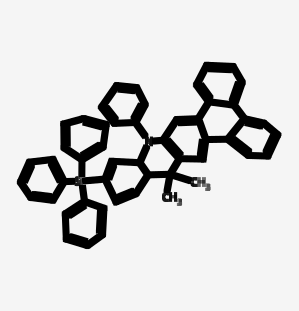 CC1(C)c2cc3c4ccccc4c4ccccc4c3cc2N(c2ccccc2)C2C=C([Si](c3ccccc3)(c3ccccc3)c3ccccc3)C=CC21